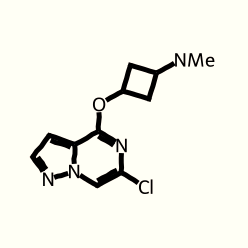 CNC1CC(Oc2nc(Cl)cn3nccc23)C1